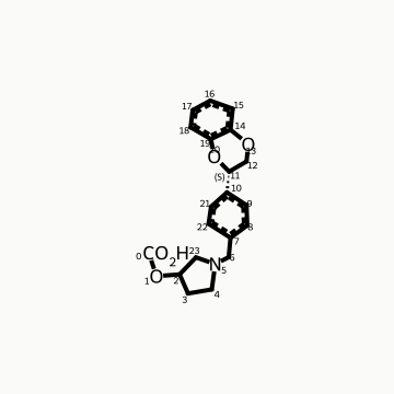 O=C(O)OC1CCN(Cc2ccc([C@H]3COc4ccccc4O3)cc2)C1